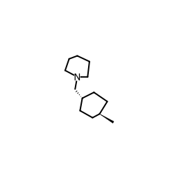 C[C@H]1CC[C@H](CN2CCCCC2)CC1